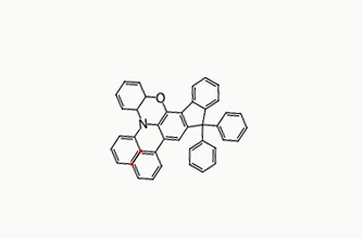 C1=CC2Oc3c4c(cc(-c5ccccc5)c3N(c3ccccc3)C2C=C1)C(c1ccccc1)(c1ccccc1)c1ccccc1-4